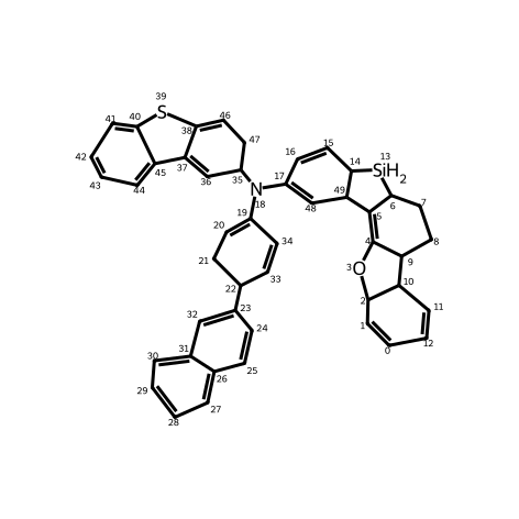 C1=CC2OC3=C4C(CCC3C2C=C1)[SiH2]C1C=CC(N(C2=CCC(c3ccc5ccccc5c3)C=C2)C2C=c3c(sc5ccccc35)=CC2)=CC41